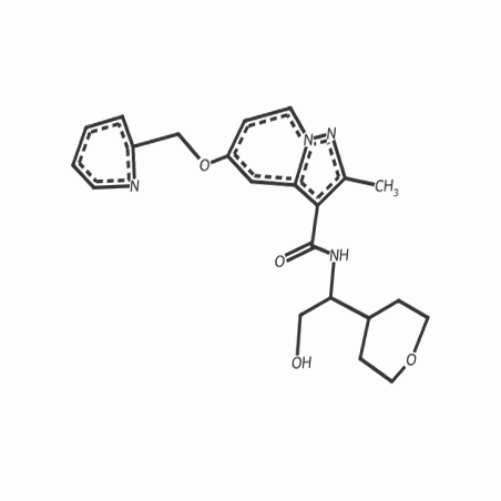 Cc1nn2ccc(OCc3ccccn3)cc2c1C(=O)NC(CO)C1CCOCC1